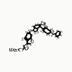 COC(=O)C[C@@H]1COc2cc(O[C@@H]3CCc4c3ccc(C(F)(F)F)c4-c3ccc(OCc4ccccc4)cc3F)ccc21